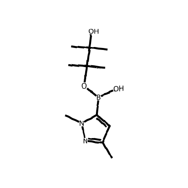 Cc1cc(B(O)OC(C)(C)C(C)(C)O)n(C)n1